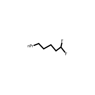 CCCCCCC[C](F)F